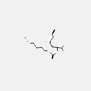 C=CC[C@@H](N)[C@H]1N(CCCCN=[N+]=[N-])C(=O)O[C@]1(C)C(O)CC